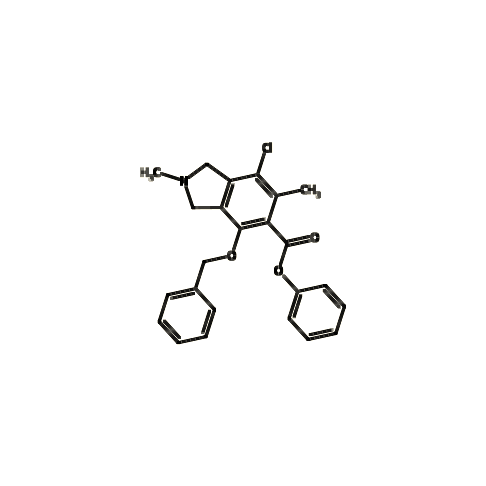 Cc1c(Cl)c2c(c(OCc3ccccc3)c1C(=O)Oc1ccccc1)CN(C)C2